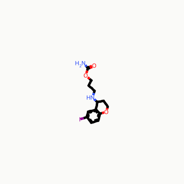 NC(=O)OCCCNC1CCOc2ccc(I)cc21